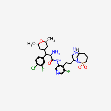 C[C@@H]1CC(C(c2ccc(Cl)c(F)c2)C(N)C(=O)Nc2cncc(F)c2CC[C@H]2CN[C@@H]3CCCS(=O)(=O)N2C3)C[C@H](C)O1